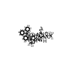 CCSc1nc(NC(=O)OC(C)(C)C)c2ncn([C@H]3[C@@H]4OC(C)(C)O[C@@H]4[C@]4(COC(c5ccccc5)(c5ccccc5)c5ccccc5)C[C@H]34)c2n1